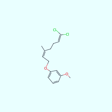 COc1cccc(OCC=C(C)CCC=C(Cl)Cl)c1